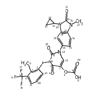 Cc1c(Cn2c(=O)c(OC(=O)O)cn(-c3ccc4c(c3)n(C3CC3)c(=O)n4C)c2=O)cccc1C(F)(F)F